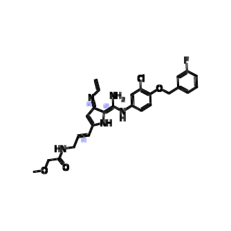 C=C/N=C1C=C(/C=C/CNC(=O)COC)NC/1=C(/N)Nc1ccc(OCc2cccc(F)c2)c(Cl)c1